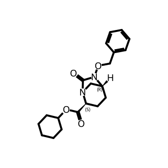 O=C(OC1CCCCC1)[C@@H]1CC[C@@H]2CN1C(=O)N2OCc1ccccc1